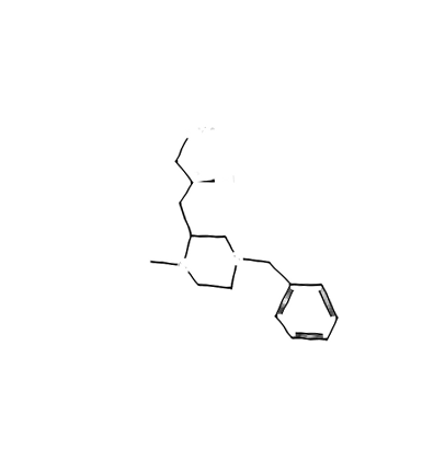 COC[C@@H](O)CC1CN(Cc2ccccc2)CCN1C(=O)O